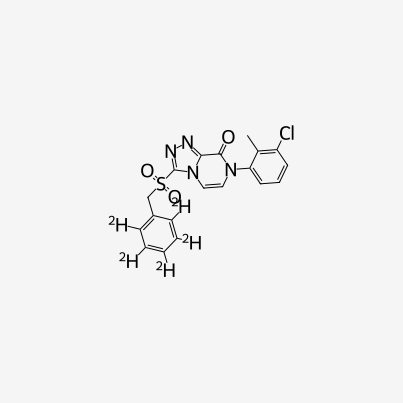 [2H]c1c([2H])c([2H])c(CS(=O)(=O)c2nnc3c(=O)n(-c4cccc(Cl)c4C)ccn23)c([2H])c1[2H]